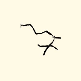 CN(CCCF)C(C)(C)C